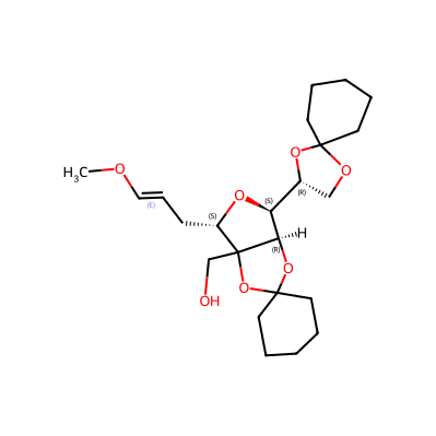 CO/C=C/C[C@@H]1O[C@@H]([C@H]2COC3(CCCCC3)O2)[C@H]2OC3(CCCCC3)OC12CO